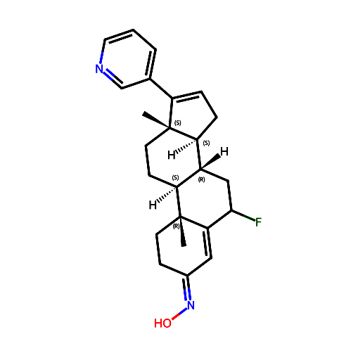 C[C@]12CCC(=NO)C=C1C(F)C[C@@H]1[C@@H]2CC[C@]2(C)C(c3cccnc3)=CC[C@@H]12